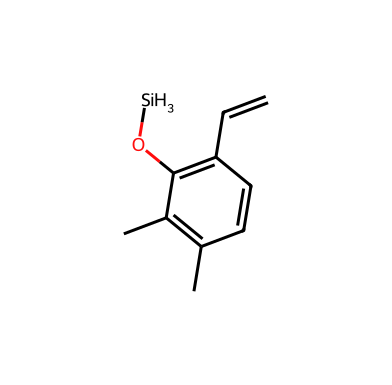 C=Cc1ccc(C)c(C)c1O[SiH3]